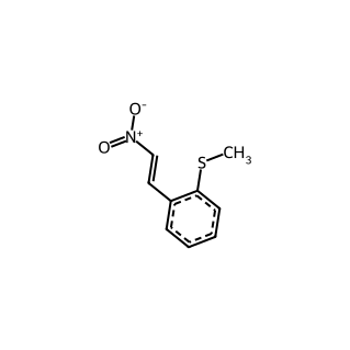 CSc1ccccc1C=C[N+](=O)[O-]